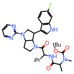 CC(C)C(NC(=O)C(C)N(C)C(=O)OC(C)(C)C)C(=O)N1CCC2C1C(c1c[nH]c3cc(F)ccc13)CN2c1ncccn1